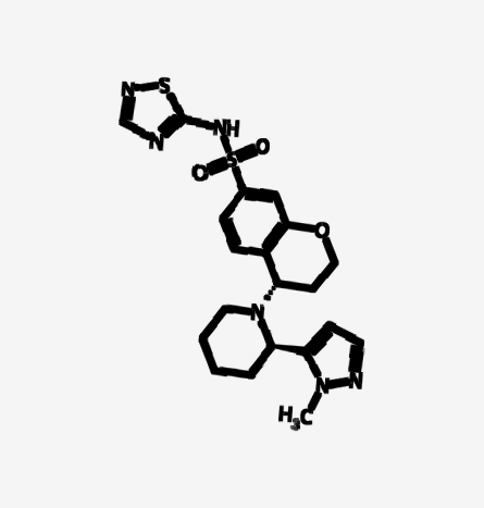 Cn1nccc1[C@H]1CCCCN1[C@H]1CCOc2cc(S(=O)(=O)Nc3ncns3)ccc21